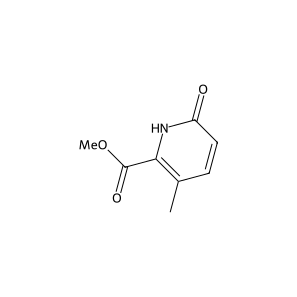 COC(=O)c1[nH]c(=O)ccc1C